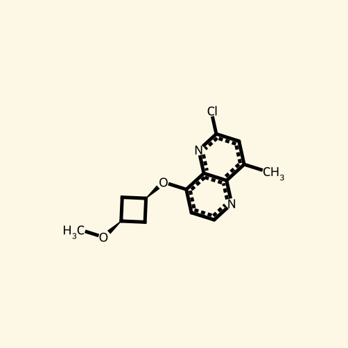 CO[C@H]1C[C@@H](Oc2ccnc3c(C)cc(Cl)nc23)C1